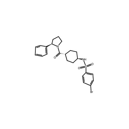 O=C([C@H]1CC[C@H](NS(=O)(=O)c2ccc(Br)cc2)CC1)N1CCC[C@@H]1c1ccccc1